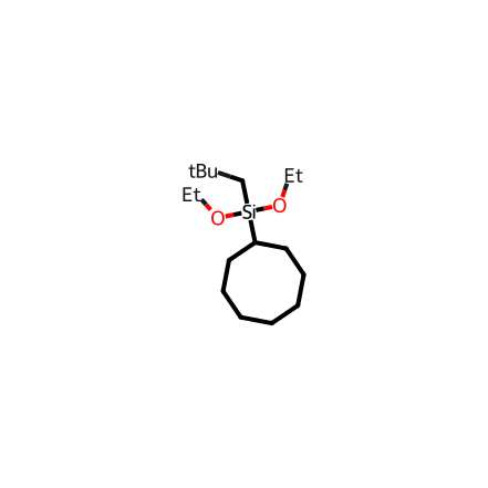 CCO[Si](CC(C)(C)C)(OCC)C1CCCCCCC1